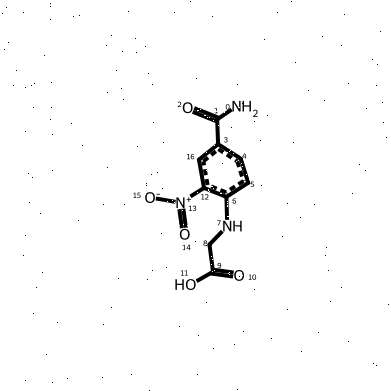 NC(=O)c1ccc(NCC(=O)O)c([N+](=O)[O-])c1